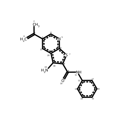 C=C(C)c1cnc2sc(C(=O)Nc3ccccc3)c(N)c2c1